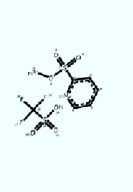 CCCOS(=O)(=O)c1ccccn1.O=S(=O)(O)C(F)(F)F